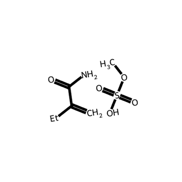 C=C(CC)C(N)=O.COS(=O)(=O)O